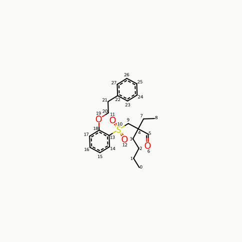 CCCCC(C=O)(CC)CS(=O)(=O)c1ccccc1OCCc1ccccc1